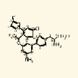 CCOC(=O)[C@@H](N)Cc1ccc(-c2cc(OC(c3ccc(Cl)cc3-n3ccc(C)n3)C(F)(F)F)nc(N)n2)cc1